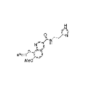 CCCCCOc1c(OC)ccc2cc(C(=O)NCCc3c[nH]cn3)cnc12